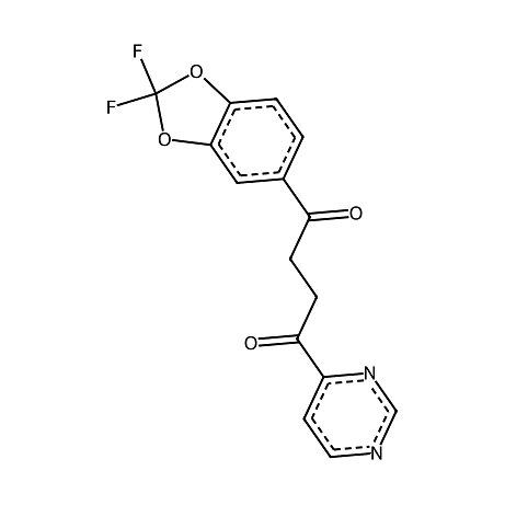 O=C(CCC(=O)c1ccncn1)c1ccc2c(c1)OC(F)(F)O2